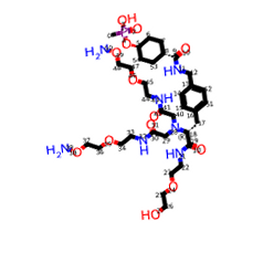 CP(=O)(O)O[C@H]1CC[C@H](C(=O)NCc2ccc(C[C@H](C(=O)NCCOCCO)N(CC(=O)NCCOCCON)CC(=O)NCCOCCON)cc2)CC1